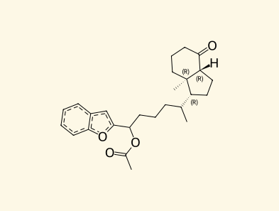 CC(=O)OC(CCCC(C)[C@H]1CC[C@H]2C(=O)CCC[C@]12C)c1cc2ccccc2o1